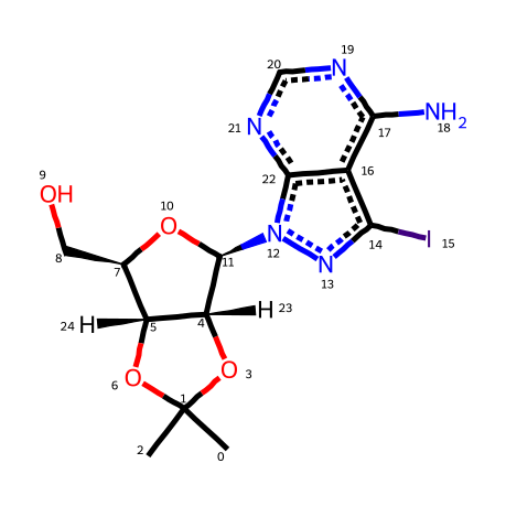 CC1(C)O[C@@H]2[C@H](O1)[C@@H](CO)O[C@H]2n1nc(I)c2c(N)ncnc21